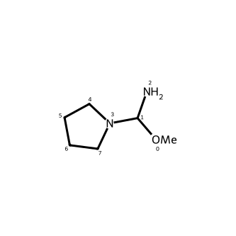 COC(N)N1CCCC1